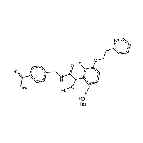 CCOC(C(=O)NCc1ccc(C(=N)N)cc1)c1c(F)ccc(OCCc2ccccn2)c1F.Cl.Cl